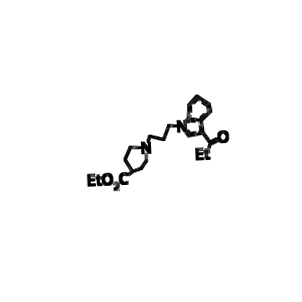 CCOC(=O)C1CCN(CCCn2cc(C(=O)CC)c3ccccc32)CC1